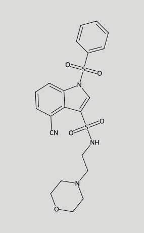 N#Cc1cccc2c1c(S(=O)(=O)NCCN1CCOCC1)cn2S(=O)(=O)c1ccccc1